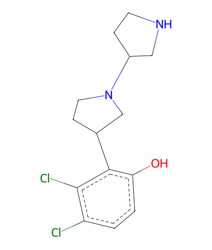 Oc1ccc(Cl)c(Cl)c1C1CCN(C2CCNC2)C1